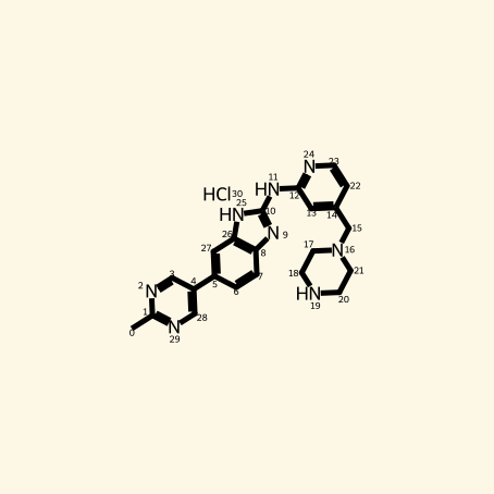 Cc1ncc(-c2ccc3nc(Nc4cc(CN5CCNCC5)ccn4)[nH]c3c2)cn1.Cl